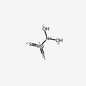 O[N](O)[Mo](=[S])=[S]